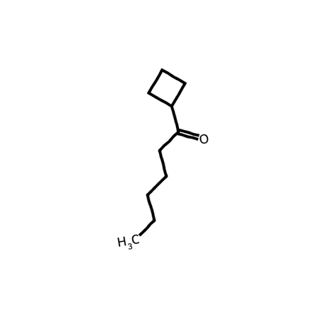 CCCCCC(=O)C1CCC1